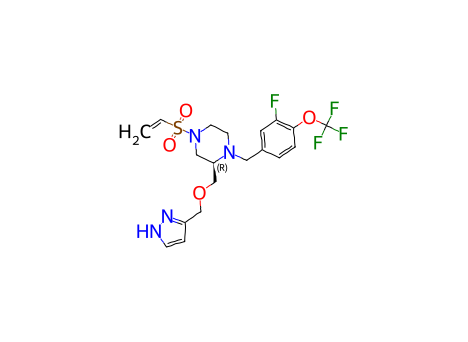 C=CS(=O)(=O)N1CCN(Cc2ccc(OC(F)(F)F)c(F)c2)[C@@H](COCc2cc[nH]n2)C1